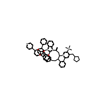 C=C1CC2C(CCc3ccc4c(sc5cc(-c6ccncc6)ccc54)c3-c3n(-c4c(-c5ccccc5)cccc4-c4ccccc4)c4ccccc4[n+]31)c1ccccc1-c1cc(CC3CCCC3)c([Si](C)(C)C)c[n+]12